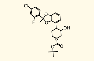 CC(C)(C)OC(=O)N1CCC(c2cccc3c2OC(C)(c2ccc(Cl)cc2F)O3)C(O)C1